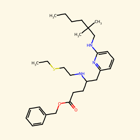 CCCCC(C)(C)CNc1cccc(CC(CCC(=O)OCc2ccccc2)NCCSCC)n1